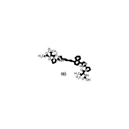 COC(=O)N[C@H](C(=O)N1CCC[C@H]1c1ncc(C#CC#Cc2ccc(-c3cnc([C@@H]4CCCN4C(=O)[C@@H](NC(=O)O)C(C)C)[nH]3)c3ccccc23)[nH]1)C(C)C.Cl.Cl